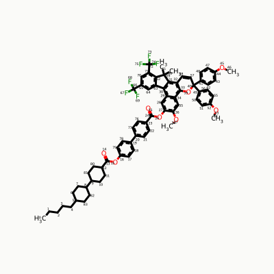 CCCCCC1CCC(C2CCC(C(=O)Oc3ccc(-c4ccc(C(=O)Oc5cc6c7c(c8c(c6cc5OC)OC(c5ccc(OC)cc5)(c5ccc(OC)cc5)C=C8)C(C)(C)c5c-7cc(C(F)(F)F)cc5C(F)(F)F)cc4)cc3)CC2)CC1